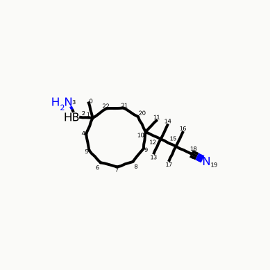 CC1(BN)CCCCCCC(C)(C(C)(C)C(C)(C)C#N)CCC1